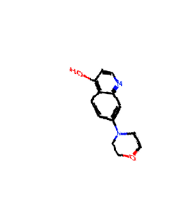 Oc1ccnc2cc(N3CCOCC3)ccc12